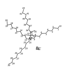 CCCCCCCCCC[N+](CCCCCCCCCC)(CCCCCCCCCC)C(C)(C)C(C)CCCCCCCC.[Br-]